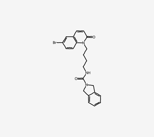 O=C(NCCCCn1c(=O)ccc2cc(Br)ccc21)N1Cc2ccccc2C1